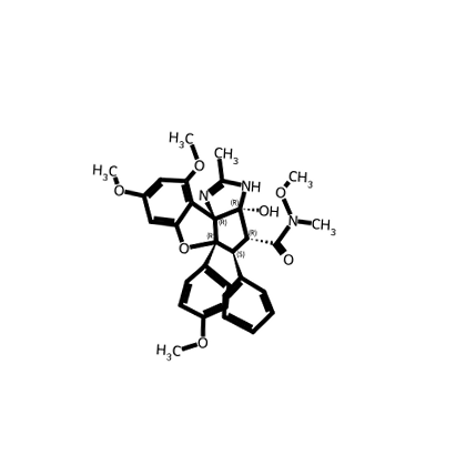 COc1ccc([C@@]23Oc4cc(OC)cc(OC)c4[C@@]24N=C(C)N[C@@]4(O)[C@H](C(=O)N(C)OC)[C@H]3c2ccccc2)cc1